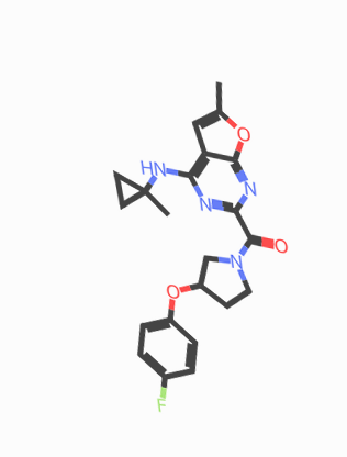 Cc1cc2c(NC3(C)CC3)nc(C(=O)N3CCC(Oc4ccc(F)cc4)C3)nc2o1